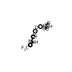 O=C1CN([C@H]2CC[C@H](OC3CCN(c4ccc(-c5nc6cc(C(F)(F)F)ccc6[nH]5)cn4)CC3)CC2)S(=O)(=O)N1